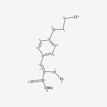 CCO/C(=C\c1ccc(OCCCl)cc1)C(=O)OC